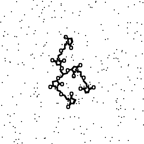 O=C1C=CC(=O)N1CCOCCN1C(=O)CC(OCC(COC2CC(=O)N(CCOCCN3C(=O)C=CC3=O)C2=O)COC2CC(=O)N(CCOCCN3C(=O)C=CC3=O)C2=O)C1=O